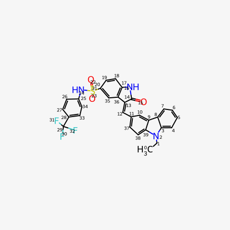 CCn1c2ccccc2c2cc(C=C3C(=O)Nc4ccc(S(=O)(=O)Nc5ccc(C(F)(F)F)cc5)cc43)ccc21